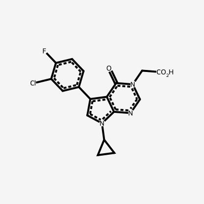 O=C(O)Cn1cnc2c(c(-c3ccc(F)c(Cl)c3)cn2C2CC2)c1=O